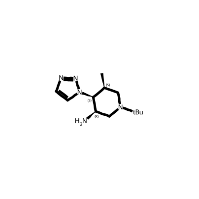 C[C@H]1CN(C(C)(C)C)C[C@@H](N)[C@H]1n1ccnn1